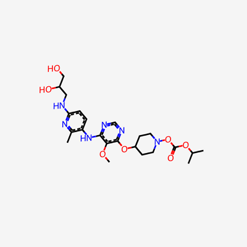 COc1c(Nc2ccc(NCC(O)CO)nc2C)ncnc1OC1CCN(OC(=O)OC(C)C)CC1